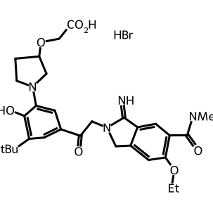 Br.CCOc1cc2c(cc1C(=O)NC)C(=N)N(CC(=O)c1cc(N3CCC(OCC(=O)O)C3)c(O)c(C(C)(C)C)c1)C2